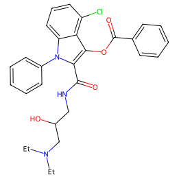 CCN(CC)CC(O)CNC(=O)c1c(OC(=O)c2ccccc2)c2c(Cl)cccc2n1-c1ccccc1